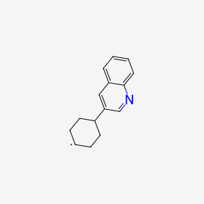 [CH]1CCC(c2cnc3ccccc3c2)CC1